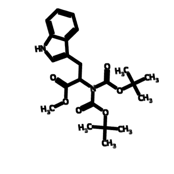 COC(=O)C(Cc1c[nH]c2ccccc12)N(C(=O)OC(C)(C)C)C(=O)OC(C)(C)C